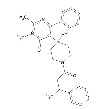 Cc1nc(-c2ccccc2)c(C2(O)CCN(C(=O)CC(C)c3ccccc3)CC2)c(=O)n1C